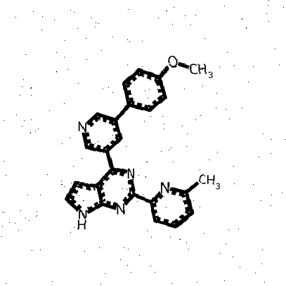 COc1ccc(-c2cncc(-c3nc(-c4cccc(C)n4)nc4[nH]ccc34)c2)cc1